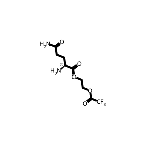 NC(=O)CC[C@H](N)C(=O)OCCOC(=O)C(F)(F)F